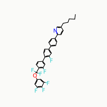 CCCCCc1ccc(-c2ccc(-c3ccc(-c4ccc(C(F)(F)Oc5cc(F)c(F)c(F)c5)c(F)c4)c(F)c3)cc2)nc1